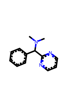 CN(C)C(c1c[c]ccc1)c1ncccn1